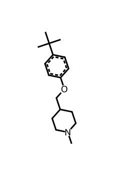 CN1CCC(COc2ccc(C(C)(C)C)cc2)CC1